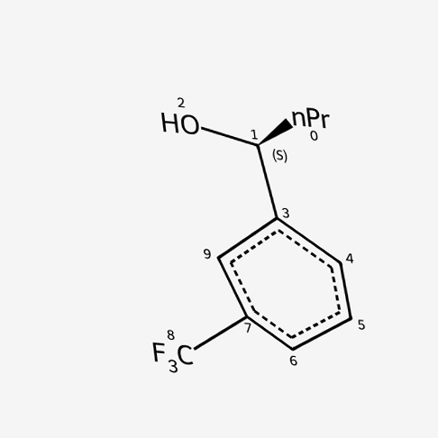 CCC[C@H](O)c1cccc(C(F)(F)F)c1